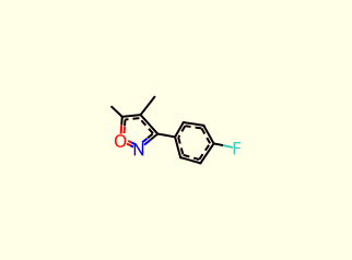 Cc1onc(-c2ccc(F)cc2)c1C